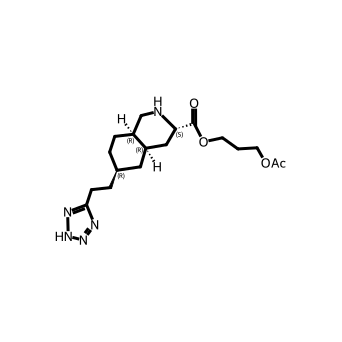 CC(=O)OCCCOC(=O)[C@@H]1C[C@H]2C[C@@H](CCc3nn[nH]n3)CC[C@H]2CN1